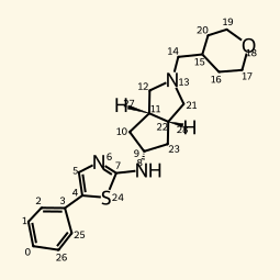 c1ccc(-c2cnc(N[C@@H]3C[C@@H]4CN(CC5CCOCC5)C[C@@H]4C3)s2)cc1